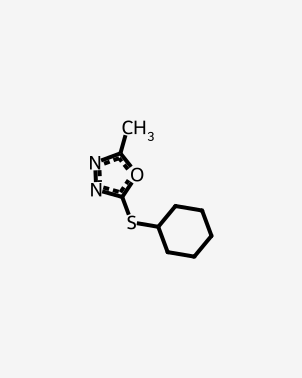 Cc1nnc(SC2CCCCC2)o1